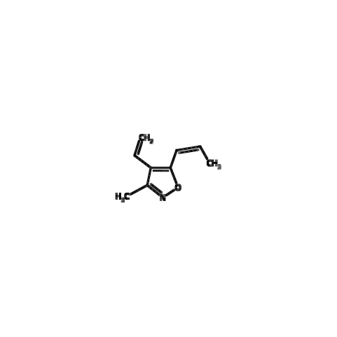 C=Cc1c(C)noc1/C=C\C